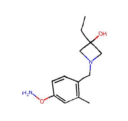 CCC1(O)CN(Cc2ccc(ON)cc2C)C1